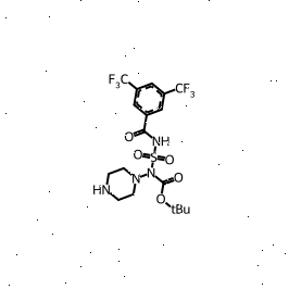 CC(C)(C)OC(=O)N(N1CCNCC1)S(=O)(=O)NC(=O)c1cc(C(F)(F)F)cc(C(F)(F)F)c1